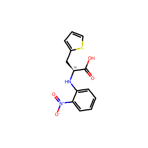 O=C(O)[C@H](Cc1cccs1)Nc1ccccc1[N+](=O)[O-]